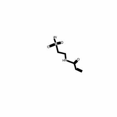 C=CC(=O)NCCS(=O)(=O)C(C)C